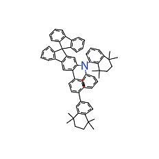 CC1(C)CCC(C)(C)c2cc(-c3ccc(-c4cc5c(cc4N(c4ccccc4)c4cccc6c4C(C)(C)CCC6(C)C)C4(c6ccccc6-c6ccccc64)c4ccccc4-5)cc3)ccc21